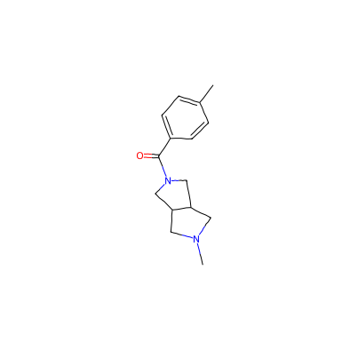 Cc1ccc(C(=O)N2CC3CN(C)CC3C2)cc1